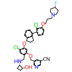 N#Cc1cncc(COc2cc(O[C@H]3CCc4c(-c5cccc(OCCCN6CCC(F)CC6)c5Cl)cccc43)c(Cl)cc2CN[C@H]2CC[C@@H]2O)c1